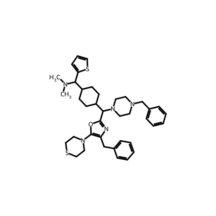 CN(C)C(c1cccs1)C1CCC(C(c2nc(Cc3ccccc3)c(N3CCSCC3)o2)N2CCN(Cc3ccccc3)CC2)CC1